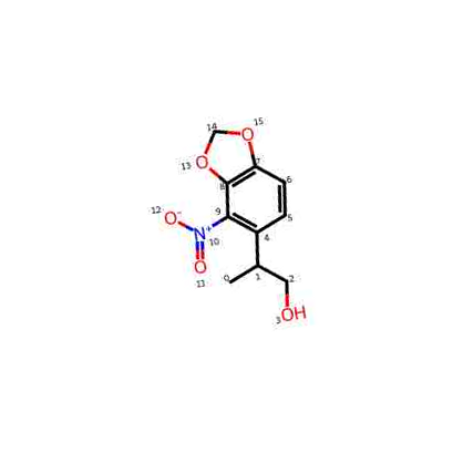 CC(CO)c1ccc2c(c1[N+](=O)[O-])OCO2